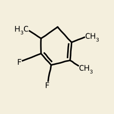 CC1=C(C)C(F)=C(F)C(C)C1